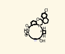 O=C1NS(=O)(=O)CC/C=C\[C@H](O)C[C@@H]2CC[C@H]2CN2C[C@@]3(CCCc4cc(Cl)ccc43)COc3ccc1cc32